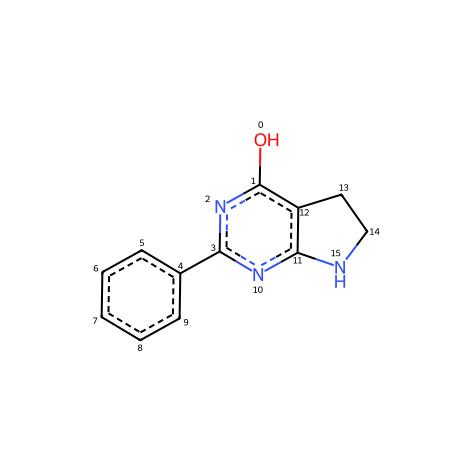 Oc1nc(-c2ccccc2)nc2c1CCN2